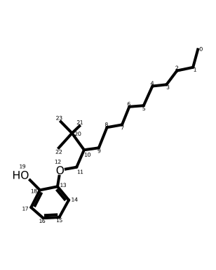 CCCCCCCCCCC(COc1ccccc1O)C(C)(C)C